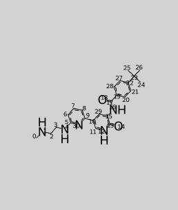 CNCCNc1cccc(-c2c[nH]c(=O)c(NC(=O)c3ccc(C(C)(C)C)cc3)c2)n1